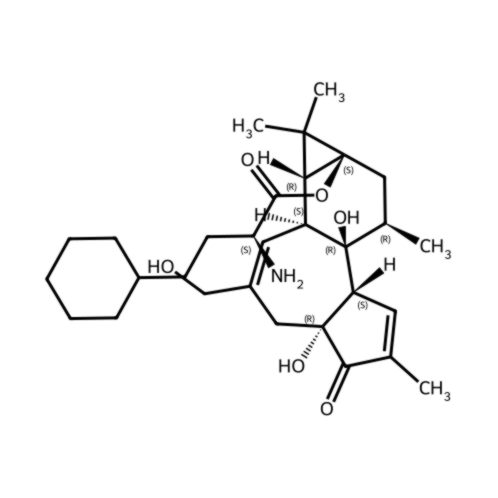 CC1=C[C@H]2[C@@]3(O)[C@H](C)C[C@]4(OC(=O)[C@@H](N)CCC5CCCCC5)[C@H]([C@@H]3C=C(CO)C[C@]2(O)C1=O)C4(C)C